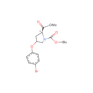 COC(=O)[C@@H]1CC(Oc2ccc(Br)cc2)CN1C(=O)OC(C)(C)C